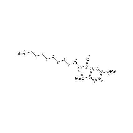 [CH2]CCCCCCCCCCCCCCCCCOOC(=O)c1cc(OC)ccc1OC